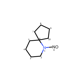 O=NN1CCCCC12CCCC2